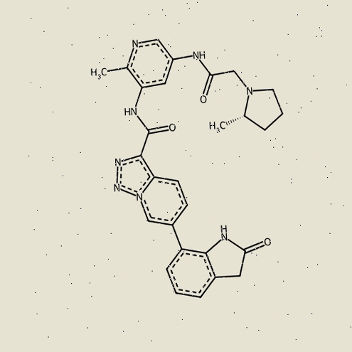 Cc1ncc(NC(=O)CN2CCC[C@@H]2C)cc1NC(=O)c1nnn2cc(-c3cccc4c3NC(=O)C4)ccc12